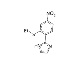 CCSc1cc([N+](=O)[O-])ccc1-c1ncc[nH]1